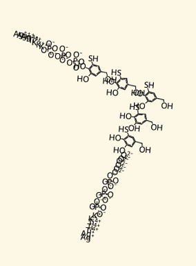 O=P([O-])([O-])[O-].O=P([O-])([O-])[O-].O=P([O-])([O-])[O-].O=P([O-])([O-])[O-].O=P([O-])([O-])[O-].O=P([O-])([O-])[O-].OCc1cc(O)c(O)c(S)c1.OCc1cc(O)c(O)c(S)c1.OCc1cc(O)c(O)c(S)c1.OCc1cc(O)c(O)c(S)c1.OCc1cc(O)c(O)c(S)c1.[Ag+].[Ag+].[Ag+].[Ag+].[Ag+].[K+].[K+].[K+].[K+].[K+].[O-2].[O-2].[O-2].[O-2].[O-2].[O-2].[Ti+4].[Ti+4].[Ti+4].[Ti+4].[Ti+4]